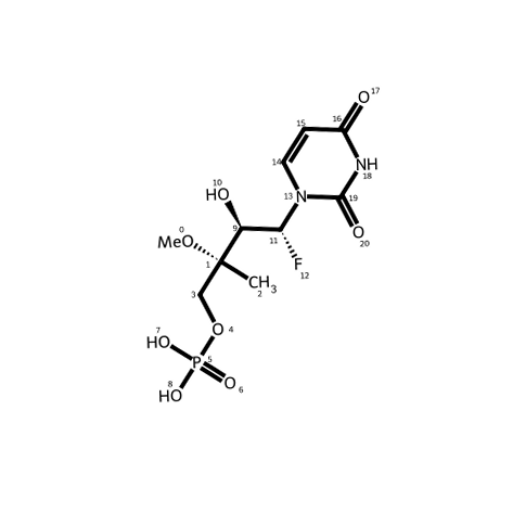 CO[C@](C)(COP(=O)(O)O)[C@@H](O)[C@@H](F)n1ccc(=O)[nH]c1=O